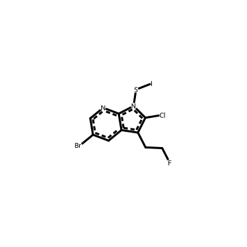 FCCc1c(Cl)n(SI)c2ncc(Br)cc12